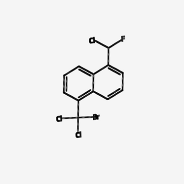 FC(Cl)c1cccc2c(C(Cl)(Cl)Br)cccc12